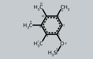 Cc1cc(O[SiH3])c(C)c(C)c1C